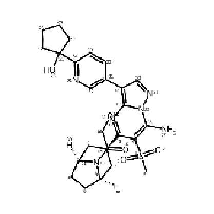 CS(=O)(=O)c1c([C@H]2C[C@H]3CC[C@@H](C2)N3C(=O)CO)nc2c(-c3ccc(C4(O)CCCC4)nc3)cnn2c1N